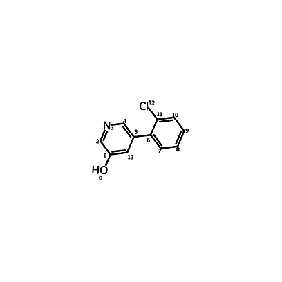 Oc1cncc(-c2ccccc2Cl)c1